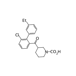 CCc1cccc(-c2c(Cl)cccc2C(=O)C2CCCN(C(=O)O)C2)c1